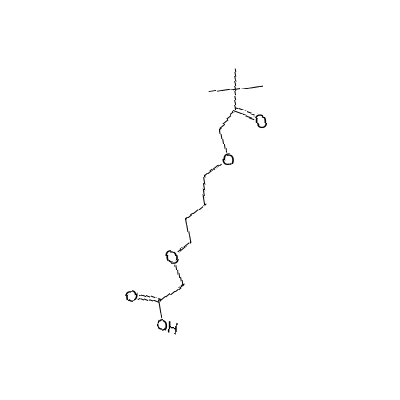 CC(C)(C)C(=O)COCCCCOCC(=O)O